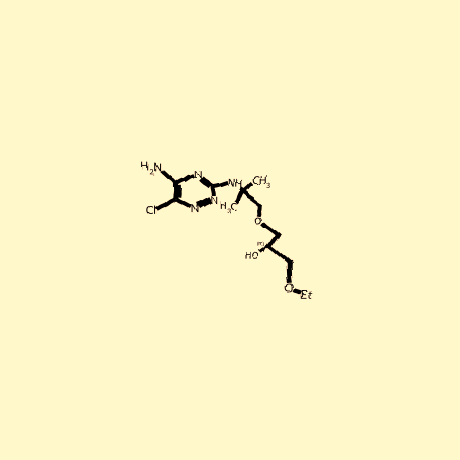 CCOC[C@@H](O)COCC(C)(C)Nc1nnc(Cl)c(N)n1